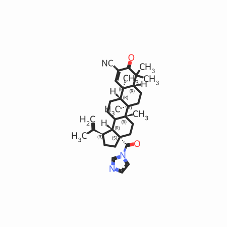 C=C(C)[C@@H]1CC[C@]2(C(=O)n3ccnc3)CC[C@]3(C)C(CC[C@@H]4[C@@]5(C)C=C(C#N)C(=O)C(C)(C)[C@@H]5CC[C@]43C)[C@@H]12